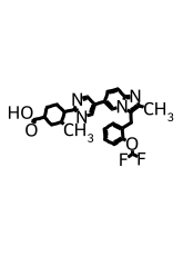 Cc1nc2ccc(-c3cnc(C4CCC(C(=O)O)CC4C)nc3)cn2c1Cc1ccccc1OC(F)F